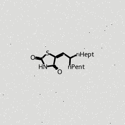 CCCCCCCC(/C=C1/SC(=O)NC1=O)CCCCC